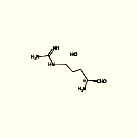 Cl.N=C(N)NCCC[C@H](N)C=O